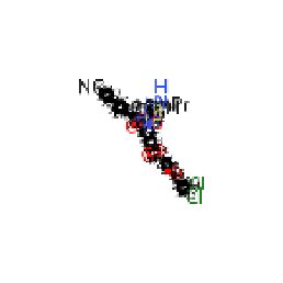 CCCNc1nc(C)c(S(=O)(=O)N2Cc3cc4c(cc3CC2C(=O)N[C@@H](Cc2ccc(-c3ccc(C#N)cc3)cc2)C(=O)O)OC[C@H](c2ccc(OCc3ccc(Cl)c(Cl)c3)cc2)O4)s1